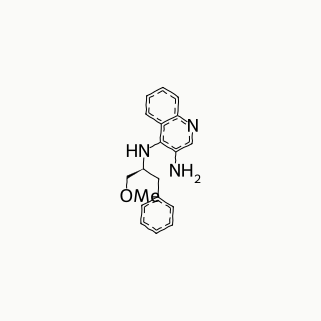 COC[C@H](Cc1ccccc1)Nc1c(N)cnc2ccccc12